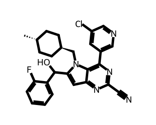 C[C@H]1CC[C@H](Cn2c(C(O)c3ccccc3F)cc3nc(C#N)nc(-c4cncc(Cl)c4)c32)CC1